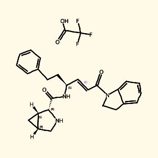 O=C(N[C@H](/C=C/C(=O)N1CCc2ccccc21)CCc1ccccc1)[C@@H]1NC[C@@H]2C[C@@H]21.O=C(O)C(F)(F)F